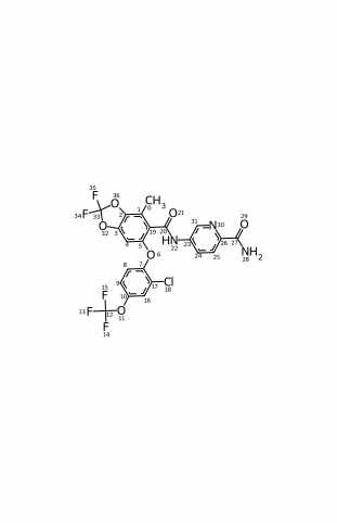 Cc1c2c(cc(Oc3ccc(OC(F)(F)F)cc3Cl)c1C(=O)Nc1ccc(C(N)=O)nc1)OC(F)(F)O2